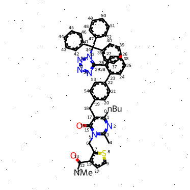 CCCCc1nc(C)n(Cc2sccc2C(=O)NC)c(=O)c1Cc1ccc(-c2ccccc2-c2nnnn2C(c2ccccc2)(c2ccccc2)c2ccccc2)cc1